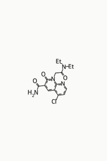 CCN(CC)C(=O)Cn1c(=O)c(C(N)=O)cc2c(Cl)ccnc21